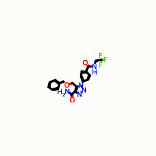 NC(=O)c1nnn(-c2ccc(C(=O)NCC(F)(F)F)cc2)c1COCc1ccccc1